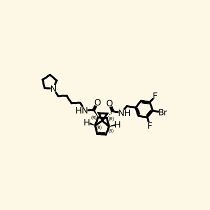 O=C(NCCCCN1CCCC1)[C@H]1[C@H](C(=O)NCc2cc(F)c(Br)c(F)c2)[C@@H]2C=C[C@H]1C21CC1